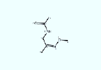 CO/N=C(/C)CNC(C)=O